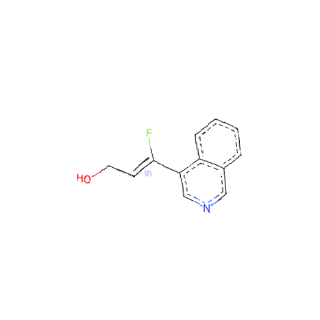 OC/C=C(\F)c1cncc2ccccc12